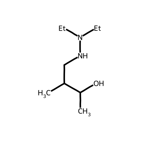 CCN(CC)NCC(C)C(C)O